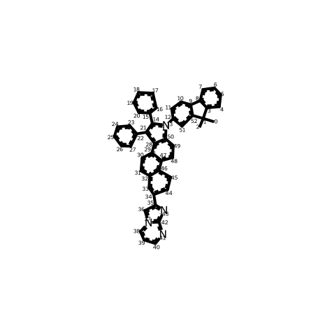 CC1(C)c2ccccc2-c2ccc(-n3c(-c4ccccc4)c(-c4ccccc4)c4c5ccc6cc(-c7cn8cccnc8n7)ccc6c5ccc43)cc21